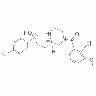 COc1cccc(C(=O)N2CCN3C[C@@](O)(c4ccc(Cl)cc4)CC[C@@H]3C2)c1Cl